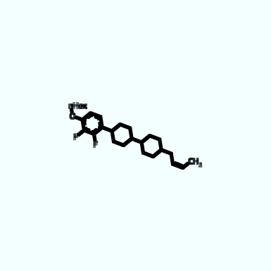 C/C=C\CC1CCC(C2CCC(c3ccc(OCCCCCC)c(F)c3F)CC2)CC1